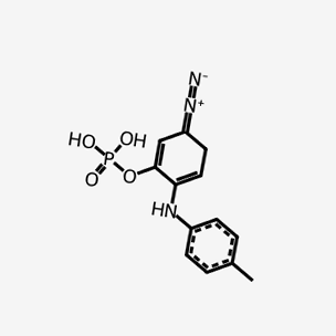 Cc1ccc(NC2=CCC(=[N+]=[N-])C=C2OP(=O)(O)O)cc1